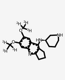 [2H]C([2H])([2H])Oc1cc2nc3c(c(N[C@@H]4CCCNC4)c2cc1OC([2H])([2H])[2H])CCC3